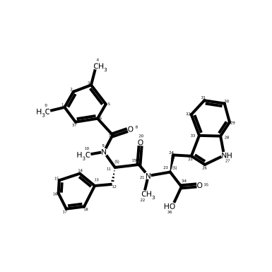 Cc1cc(C)cc(C(=O)N(C)[C@@H](Cc2ccccc2)C(=O)N(C)[C@@H](Cc2c[nH]c3ccccc23)C(=O)O)c1